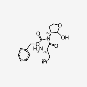 CC(C)C[C@H](N)C(=O)N(C(=O)OCc1ccccc1)[C@H]1CCOC1O